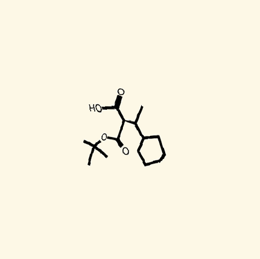 CC(C1CCCCC1)[C@H](C(=O)O)C(=O)OC(C)(C)C